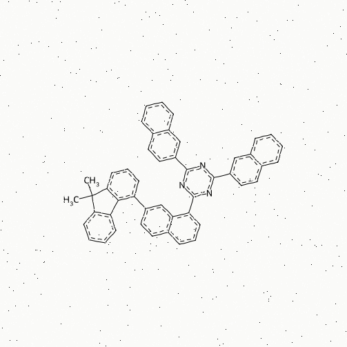 CC1(C)c2ccccc2-c2c(-c3ccc4cccc(-c5nc(-c6ccc7ccccc7c6)nc(-c6ccc7ccccc7c6)n5)c4c3)cccc21